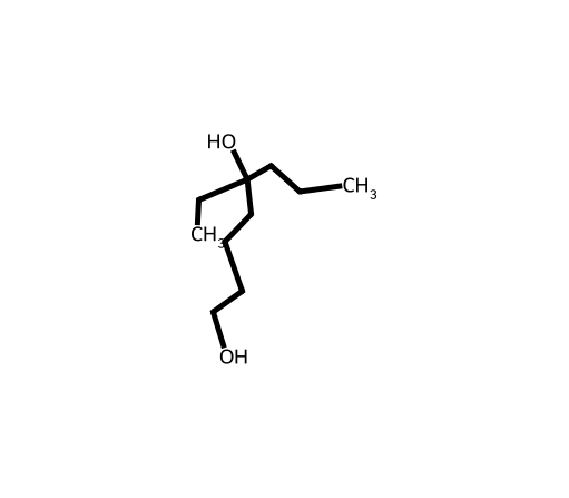 CCCC(O)(CC)CCCCO